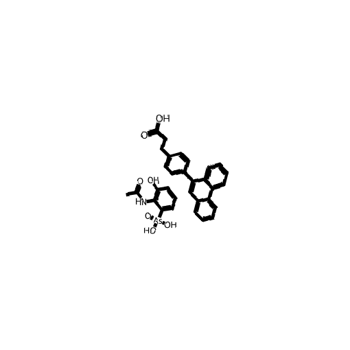 CC(=O)Nc1c(O)cccc1[As](=O)(O)O.O=C(O)CCc1ccc(-c2cc3ccccc3c3ccccc23)cc1